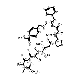 CC[C@H](C)[C@@H]([C@@H](CC(=O)N1CCC[C@H]1[C@H](OC)[C@@H](C)C(=O)N[C@H](COCc1ccc(C(=O)OC)cc1)Cc1ccccc1)OC)N(C)[C@H](C(=O)NC(=O)[C@H](C(C)C)N(C)C(=O)OC(C)(C)C)C(C)C